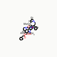 CCC1=C[C@@H]2CN(CCc3c([nH]c4ccccc34)[C@@](C(=O)OC)(c3cc4c(cc3OC)N(C)[C@H]3C(O)(COC(=O)Cc5ccccc5)[C@H](OC(C)=O)[C@]5(CC)C=CCN6CC[C@]43C65)C2)C1